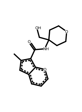 Cc1cc2cc[c]oc-2c1C(=O)NC1(CO)CCOCC1